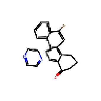 O=C1CCCc2c1ccc1c2cc(Br)c2ccccc21.c1cnccn1